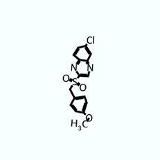 COc1ccc(CS(=O)(=O)c2cnc3cc(Cl)ccc3n2)cc1